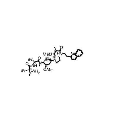 CC[C@H](C)C([C@@H](CC(=O)N1CCC[C@H]1[C@H](OC)[C@@H](C)C(=O)NCCc1ccc2ccccc2n1)OC)N(C)C(=O)[C@@H](NC(=O)[C@H](C(C)C)N(C)N)C(C)C